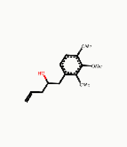 C=CCC(O)Cc1ccc(OC)c(OC)c1OC